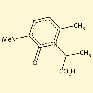 CNc1ccc(C)n(C(C)C(=O)O)c1=O